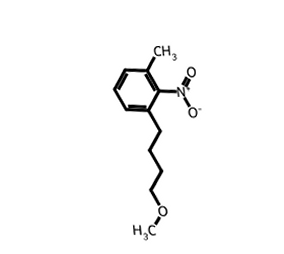 COCCCCc1cccc(C)c1[N+](=O)[O-]